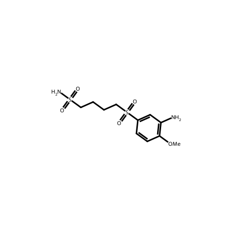 COc1ccc(S(=O)(=O)CCCCS(N)(=O)=O)cc1N